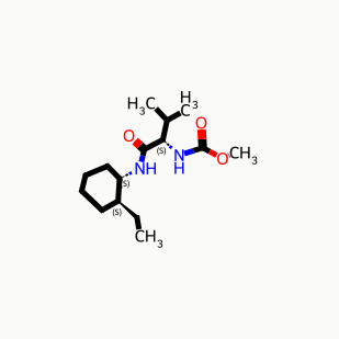 CC[C@H]1CCCC[C@@H]1NC(=O)[C@@H](NC(=O)OC)C(C)C